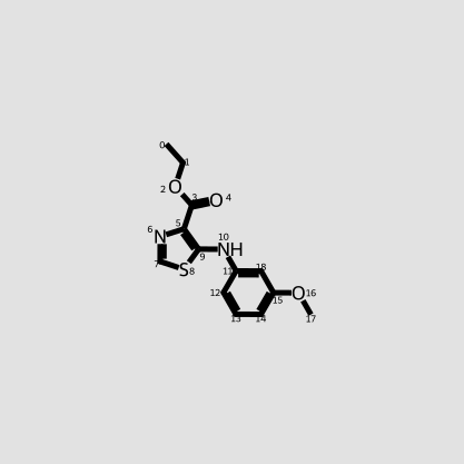 CCOC(=O)c1ncsc1Nc1cccc(OC)c1